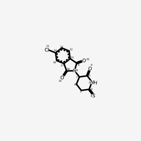 O=C1NC(=S)CCC1N1C(=O)c2ccc(Cl)cc2C1=O